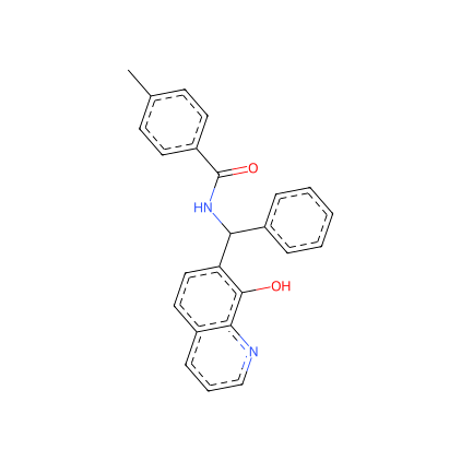 Cc1ccc(C(=O)NC(c2ccccc2)c2ccc3cccnc3c2O)cc1